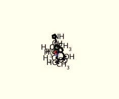 C/C1=C\[C@@H](C)C(C(C)O)OC(=O)C(O)CC2C=C[C@]3(C)[C@H]4[C@H](O)[C@@H](C)[C@@H](OCc5ccc[nH]5)[C@@H]3O[C@@]124